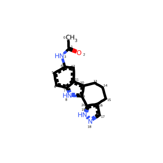 CC(=O)Nc1ccc2[nH]c3c(c2c1)CCCc1cn[nH]c1-3